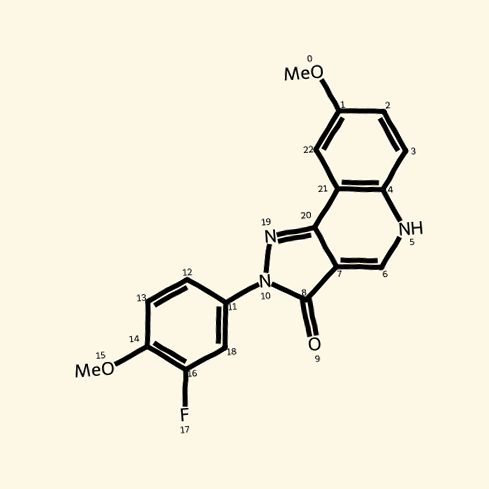 COc1ccc2[nH]cc3c(=O)n(-c4ccc(OC)c(F)c4)nc-3c2c1